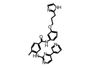 Cc1ccc(C(=O)Nc2cccc(OCCCc3ncc[nH]3)c2)cc1Nc1nccc(-c2cccnc2)n1